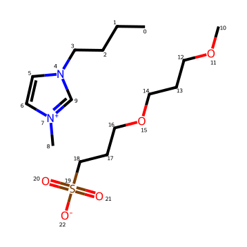 CCCCn1cc[n+](C)c1.COCCCOCCCS(=O)(=O)[O-]